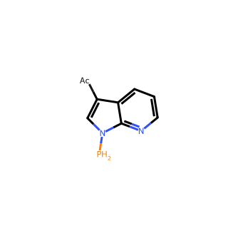 CC(=O)c1cn(P)c2ncccc12